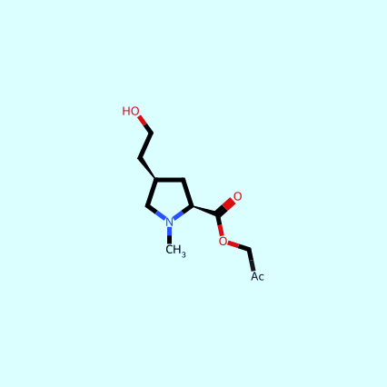 CC(=O)COC(=O)[C@@H]1C[C@H](CCO)CN1C